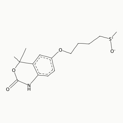 C[S+]([O-])CCCCOc1ccc2c(c1)C(C)(C)OC(=O)N2